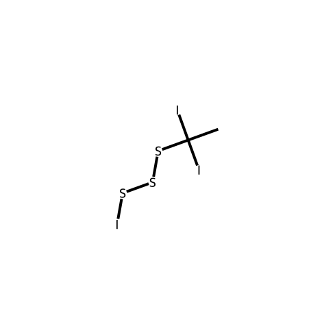 CC(I)(I)SSSI